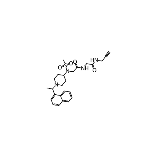 C#CCNC(=O)CNC(=O)CN(C1CCN(C(C)c2cccc3ccccc23)CC1)S(C)(=O)=O